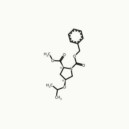 COC(=O)[C@@H]1C[C@H](OC(C)C)CN1C(=O)OCc1ccccc1